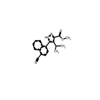 COC(=O)c1n[nH]c(-c2ccc(C#N)c3ccccc23)c1C(C)C